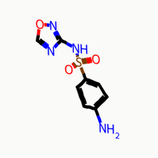 Nc1ccc(S(=O)(=O)Nc2ncon2)cc1